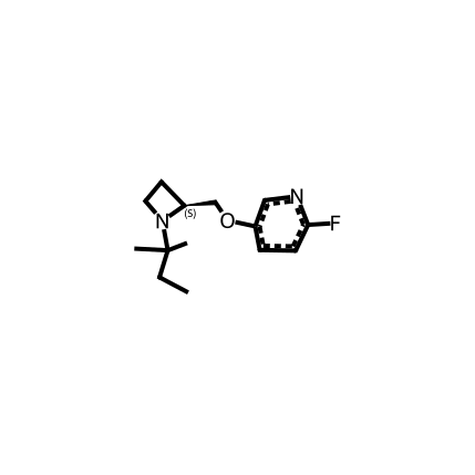 CCC(C)(C)N1CC[C@H]1COc1ccc(F)nc1